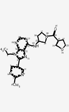 CCn1c(-c2cnc(C)nc2)nc2c(NC3CCN(C(=O)C4CCOC4)C3)ncnc21